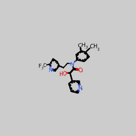 Cc1ccc(N(CCc2ccc(C(F)(F)F)nc2)C(=O)C(O)c2cccnc2)cc1C